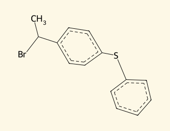 CC(Br)c1ccc(Sc2ccccc2)cc1